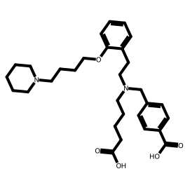 O=C(O)CCCCN(CCc1ccccc1OCCCCN1CCCCC1)Cc1ccc(C(=O)O)cc1